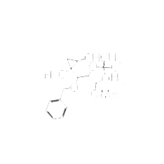 COC1OC(C)(C)OC1C(OCc1ccccc1)[C@]1(C)C[C@H]1C